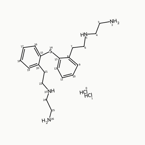 Cl.Cl.NCCNCCc1ccccc1Sc1ccccc1CCNCCN